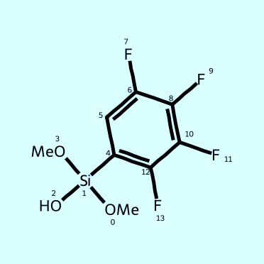 CO[Si](O)(OC)c1cc(F)c(F)c(F)c1F